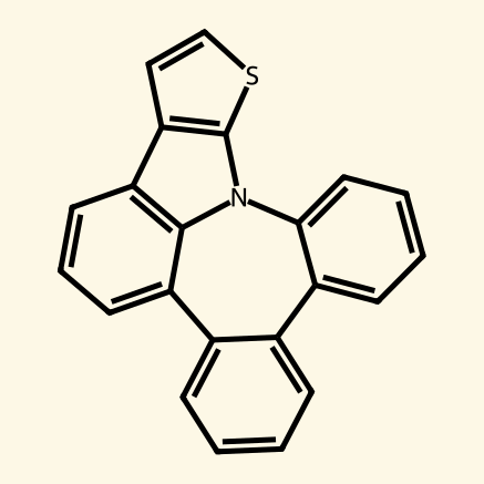 c1ccc2c(c1)-c1ccccc1-n1c3sccc3c3cccc-2c31